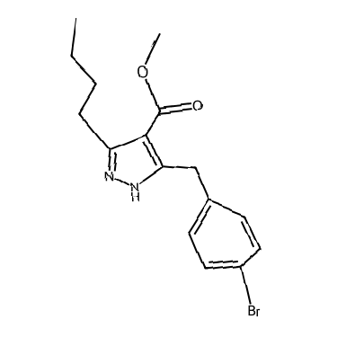 CCCCc1n[nH]c(Cc2ccc(Br)cc2)c1C(=O)OC